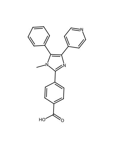 Cn1c(-c2ccc(C(=O)O)cc2)nc(-c2ccncc2)c1-c1ccccc1